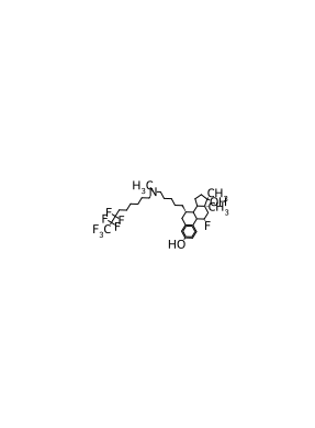 CN(CCCCCCC(F)(F)C(F)(F)C(F)(F)F)CCCCC[C@@H]1Cc2cc(O)ccc2C2C1C1CC[C@](C)(O)[C@@]1(C)C[C@@H]2F